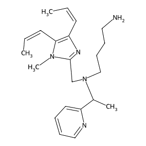 C/C=C\c1nc(CN(CCCCN)C(C)c2ccccn2)n(C)c1/C=C\C